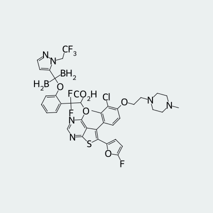 BC(B)(Oc1ccccc1C(F)(F)C(Oc1ncnc2sc(-c3ccc(F)o3)c(-c3ccc(OCCN4CCN(C)CC4)c(Cl)c3C)c12)C(=O)O)c1ccnn1CC(F)(F)F